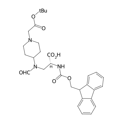 CC(C)(C)OC(=O)CN1CCC(N(C=O)C[C@@H](NC(=O)OCC2c3ccccc3-c3ccccc32)C(=O)O)CC1